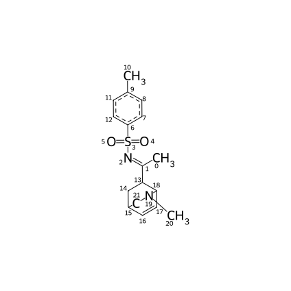 C/C(=N\S(=O)(=O)c1ccc(C)cc1)C1CC2C=CC1N(C)C2